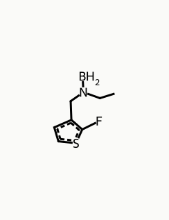 BN(CC)Cc1ccsc1F